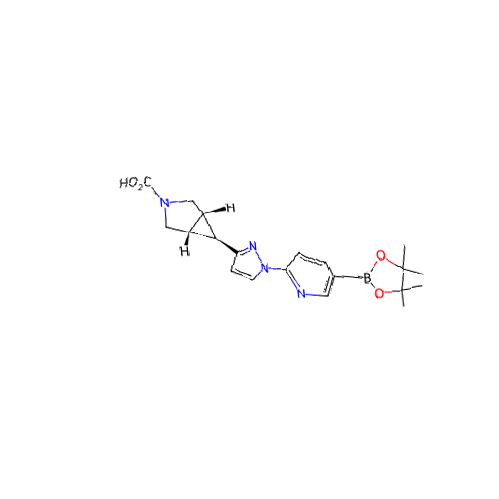 CC1(C)OB(c2ccc(-n3ccc([C@H]4[C@@H]5CN(C(=O)O)C[C@@H]54)n3)nc2)OC1(C)C